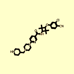 CC1(C)C(NC(=O)c2ccc(N3CCN(CC4CCNCC4)CC3)nc2)C(C)(C)C1Oc1ccc(C#N)c(Cl)c1